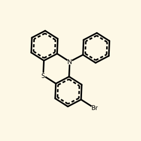 Brc1ccc2c(c1)N(c1ccccc1)c1ccccc1S2